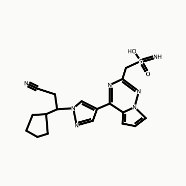 N#CCC(C1CCCC1)n1cc(-c2nc(CS(=N)(=O)O)nn3cccc23)cn1